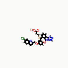 O=C(O)CCSC1c2cc(OCc3ccc4ccc(Cl)cc4n3)ccc2OCc2c(-c3nnn[nH]3)cccc21